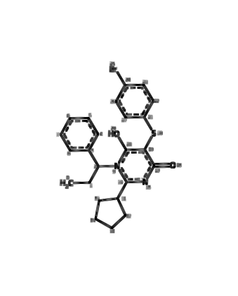 CCC(c1ccccc1)n1c(C2CCCC2)nc(=O)c(Sc2ccc(Br)cc2)c1O